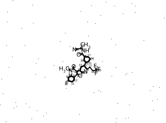 CNC(=O)c1c(-c2ccc(F)cc2)oc2nc(CCC(F)(F)F)c(-c3cccc(C(=O)N[C@H](C)C#N)c3)cc12